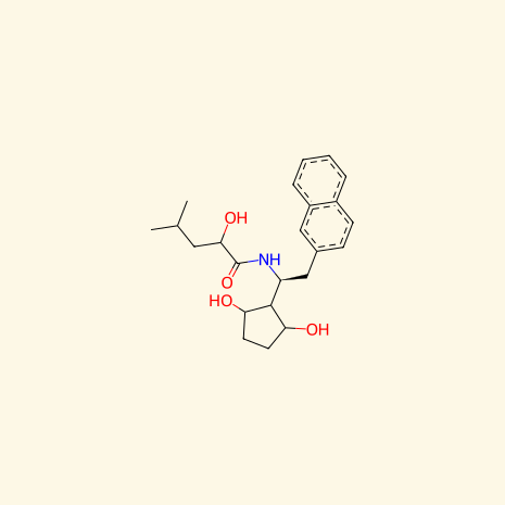 CC(C)CC(O)C(=O)N[C@@H](Cc1ccc2ccccc2c1)C1C(O)CCC1O